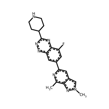 Cc1nc(-c2cc(F)c3nc(C4CCNCC4)nnc3c2)cc2cn(C)nc12